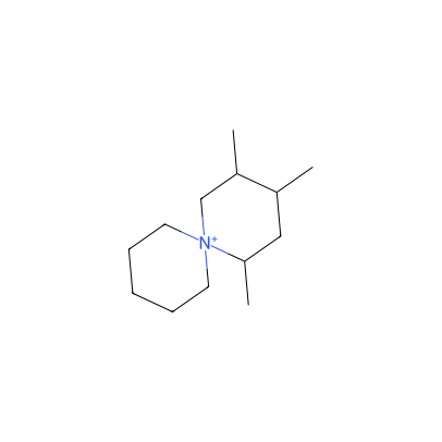 CC1CC(C)[N+]2(CCCCC2)CC1C